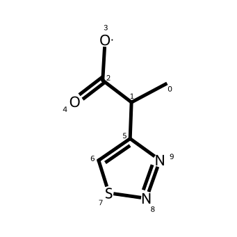 CC(C([O])=O)c1csnn1